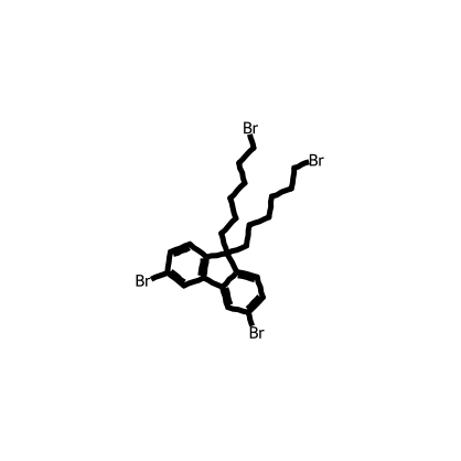 BrCCCCCCC1(CCCCCCBr)c2ccc(Br)cc2-c2cc(Br)ccc21